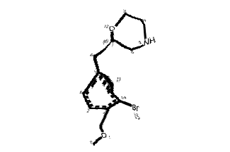 COc1ccc(C[C@@H]2CNCCO2)cc1Br